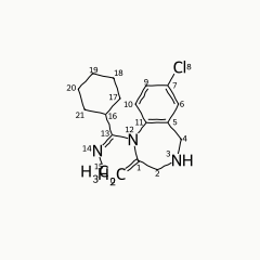 C=C1CNCc2cc(Cl)ccc2N1/C(=N\C)C1CCCCC1